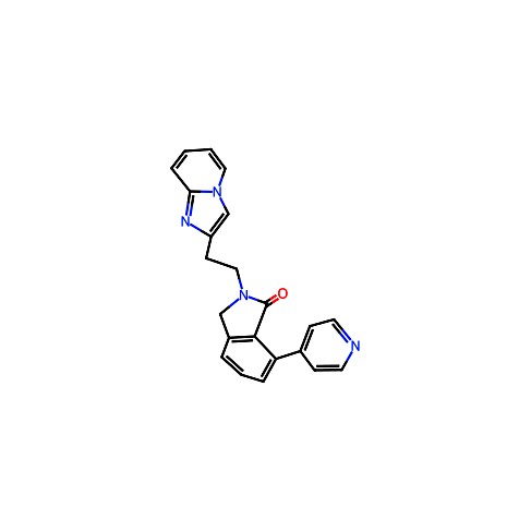 O=C1c2c(cccc2-c2ccncc2)CN1CCc1cn2ccccc2n1